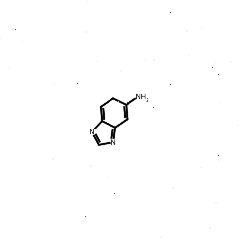 NC1=CC2=NC=NC2=CC1